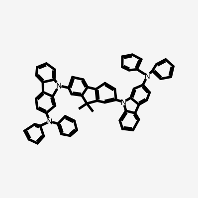 CC1(C)c2cc(-n3c4ccccc4c4ccc(N(c5ccccc5)c5ccccc5)cc43)ccc2-c2ccc(-n3c4ccccc4c4ccc(N(c5ccccc5)c5ccccc5)cc43)cc21